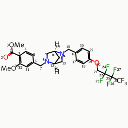 COC(=O)c1ccc(CN2C[C@@H]3C[C@H]2CN3Cc2ccc(OCC(F)(F)C(F)(F)C(F)(F)F)cc2)cc1OC